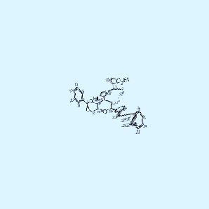 CCOC(=O)[C@H](C)OC1[C@@H]2OC(c3ccccc3)OCC2O[C@H](OCc2ccccc2)[C@H]1C